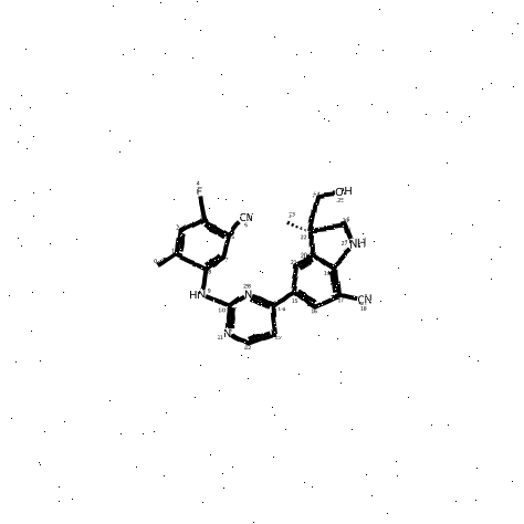 Cc1cc(F)c(C#N)cc1Nc1nccc(-c2cc(C#N)c3c(c2)[C@@](C)(CO)CN3)n1